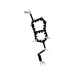 C=CSc1nc2ccc(OC)cc2s1